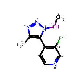 CPn1nnc(C(F)(F)F)c1-c1ccncc1F